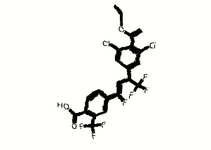 C=C(OCC)c1c(Cl)cc(C(C=C(F)c2ccc(C(=O)O)c(C(F)(F)F)c2)C(F)(F)F)cc1Cl